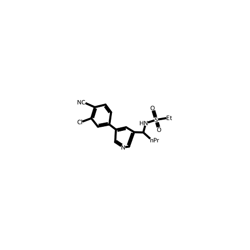 CCCC(NS(=O)(=O)CC)c1cncc(-c2ccc(C#N)c(Cl)c2)c1